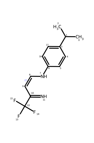 CC(C)c1ccc(N/C=C\C(=N)C(F)(F)F)cc1